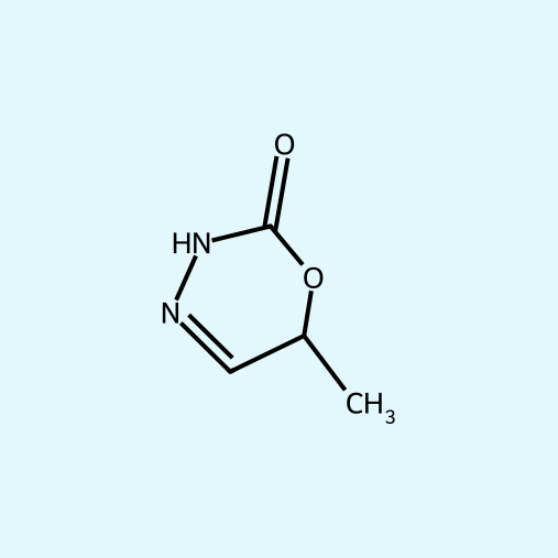 CC1C=NNC(=O)O1